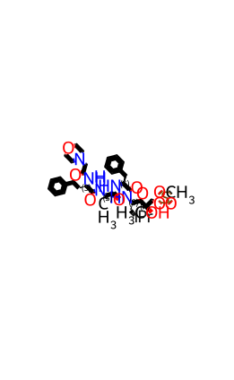 CC(C)C[C@H](NC(=O)[C@H](Cc1ccccc1)NC(=O)[C@H](C)NC(=O)[C@H](CCc1ccccc1)NC(=O)CN1CCOCC1)C(=O)[C@](C)(O)COS(C)(=O)=O